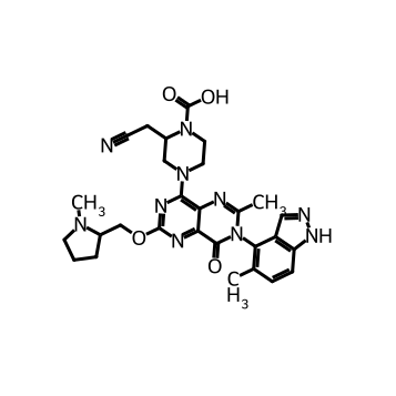 Cc1ccc2[nH]ncc2c1-n1c(C)nc2c(N3CCN(C(=O)O)C(CC#N)C3)nc(OCC3CCCN3C)nc2c1=O